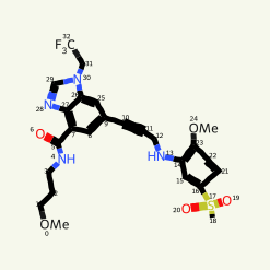 COCCCNC(=O)c1cc(C#CCNc2cc(S(C)(=O)=O)ccc2OC)cc2c1ncn2CC(F)(F)F